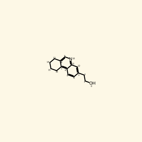 OCCc1ccc2c3c(cnc2c1)CCCC3